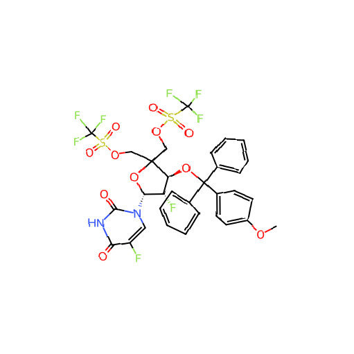 COc1ccc(C(O[C@H]2[C@H](F)[C@H](n3cc(F)c(=O)[nH]c3=O)OC2(COS(=O)(=O)C(F)(F)F)COS(=O)(=O)C(F)(F)F)(c2ccccc2)c2ccccc2)cc1